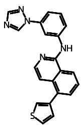 c1cc(Nc2nccc3c(-c4ccsc4)cccc23)cc(-n2cncn2)c1